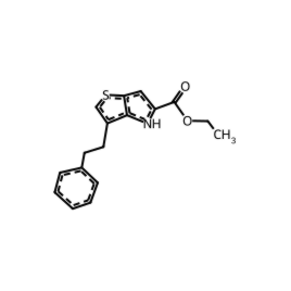 CCOC(=O)c1cc2scc(CCc3ccccc3)c2[nH]1